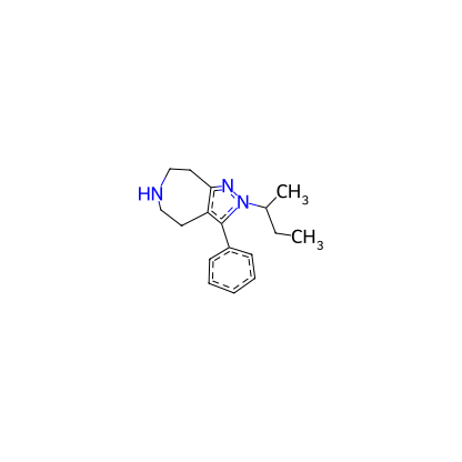 CCC(C)n1nc2c(c1-c1ccccc1)CCNCC2